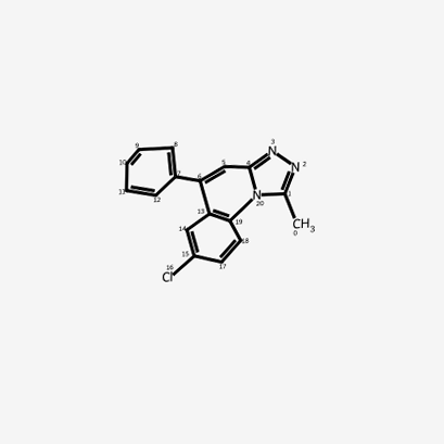 Cc1nnc2cc(-c3ccccc3)c3cc(Cl)ccc3n12